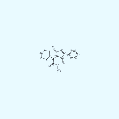 C=CC(=O)C(C1CCNCC1)N1C(=O)C=C(c2ccccc2)C1=O